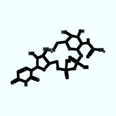 CC(=O)NC1C(OP(=O)(O)OP(=O)(O)OCC2OC(n3ccc(=O)[nH]c3=O)C(O)C2O)OC(CN)C(O)C1O